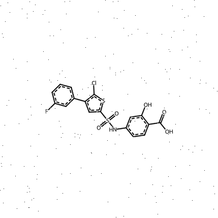 O=C(O)c1ccc(NS(=O)(=O)c2cc(-c3cccc(F)c3)c(Cl)s2)cc1O